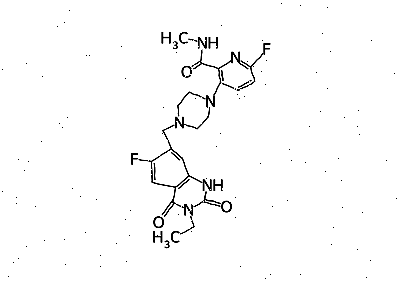 CCn1c(=O)[nH]c2cc(CN3CCN(c4ccc(F)nc4C(=O)NC)CC3)c(F)cc2c1=O